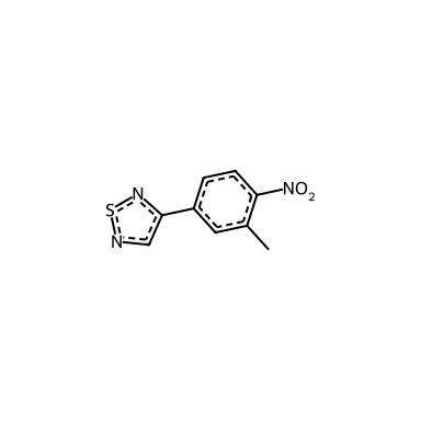 Cc1cc(-c2cnsn2)ccc1[N+](=O)[O-]